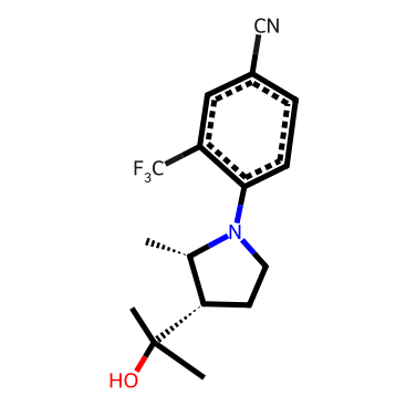 C[C@H]1[C@@H](C(C)(C)O)CCN1c1ccc(C#N)cc1C(F)(F)F